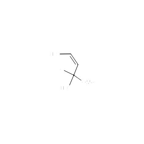 C/C=C\C(C)(C)OC